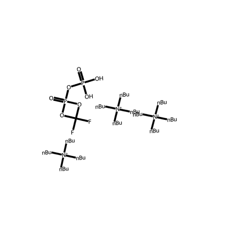 CCCC[N+](CCCC)(CCCC)CCCC.CCCC[N+](CCCC)(CCCC)CCCC.CCCC[N+](CCCC)(CCCC)CCCC.O=P(O)(O)OP1(=O)OC(F)(F)O1